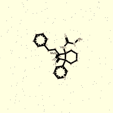 CNC(=S)C1(c2cccnc2)CCCCC1(NC(=O)OC(C)(C)C)C(=O)CCc1ccccc1